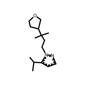 CC(C)c1ccnn1CCC(C)(C)C1CCOC1